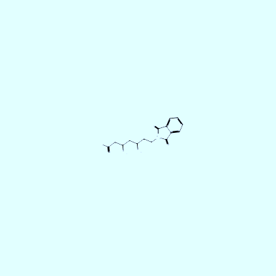 O=C(O)CC(O)CC(O)CCN1C(=O)c2ccccc2C1=O